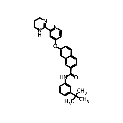 CC(C)(C)c1cccc(NC(=O)c2ccc3ccc(Oc4ccnc(C5=NCCCN5)c4)cc3c2)c1